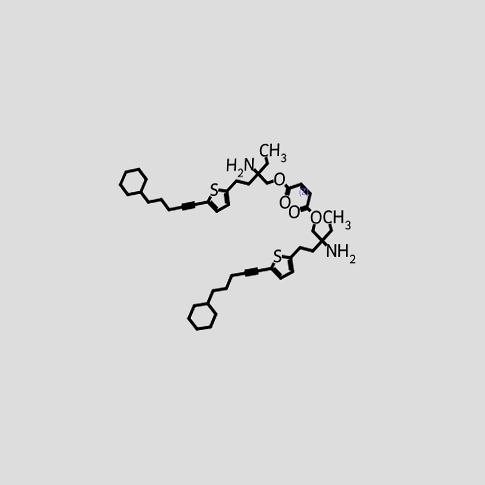 CCC(N)(CCc1ccc(C#CCCCC2CCCCC2)s1)COC(=O)/C=C\C(=O)OCC(N)(CC)CCc1ccc(C#CCCCC2CCCCC2)s1